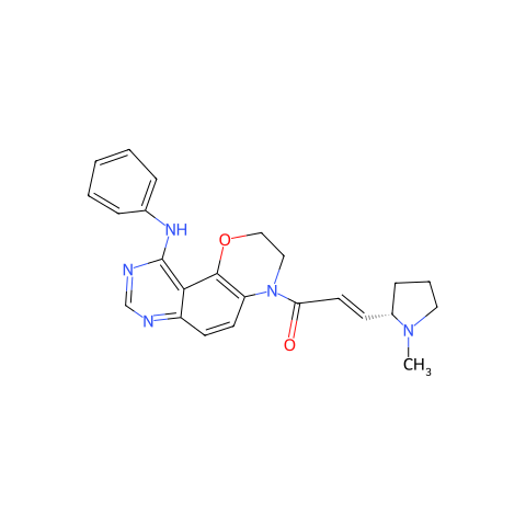 CN1CCC[C@H]1/C=C/C(=O)N1CCOc2c1ccc1ncnc(Nc3ccccc3)c21